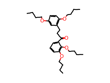 CCCCOc1ccc(OCCCC)c(CCC(=O)c2cccc(OCCCC)c2OCCCC)c1